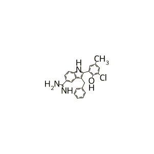 Cc1cc(Cl)c(O)c(-c2[nH]c3ccc(C(=N)N)cc3c2Cc2ccccc2)c1